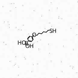 OB(O)c1ccc(OCCCCCCS)cc1